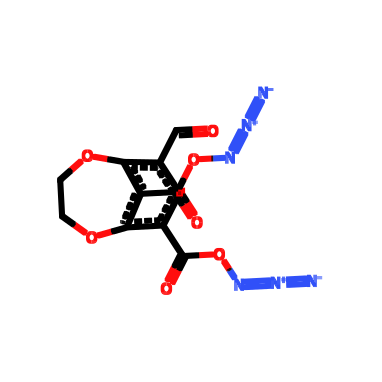 [N-]=[N+]=NOC(=O)c1cc(C=O)c2c(C(=O)ON=[N+]=[N-])c1OCCO2